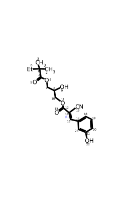 CCC(C)(C)C(=O)OCC(O)COC(=O)/C(C#N)=C/c1cccc(O)c1